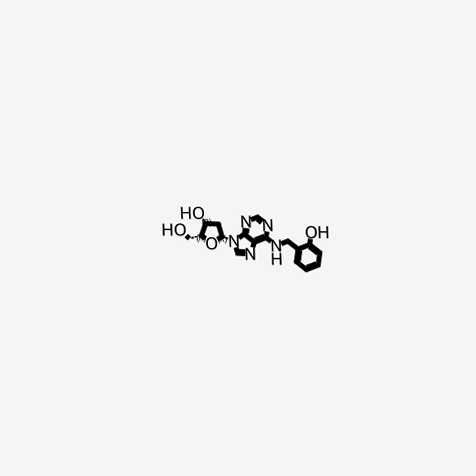 OC[C@H]1O[C@@H](n2cnc3c(NCc4ccccc4O)ncnc32)C[C@H]1O